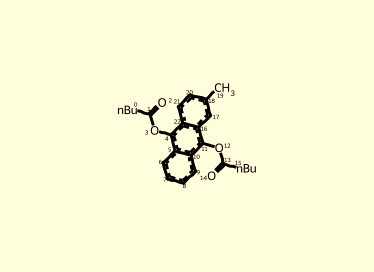 CCCCC(=O)Oc1c2ccccc2c(OC(=O)CCCC)c2cc(C)ccc12